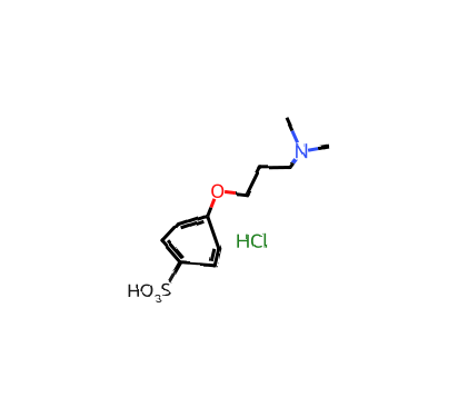 CN(C)CCCOc1ccc(S(=O)(=O)O)cc1.Cl